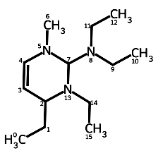 CCC1C=CN(C)C(N(CC)CC)N1CC